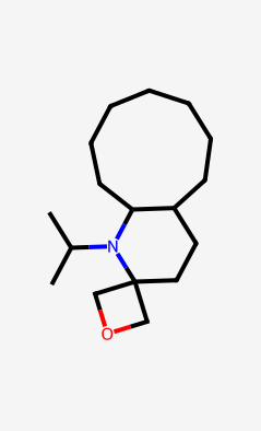 CC(C)N1C2CCCCCCCC2CCC12COC2